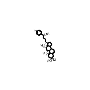 CC[C@]1(O)CCC2(C)C(=CCC3C2CCC2(C)C3CC[C@@H]2CCCC(O)c2ccc(F)cc2)C1